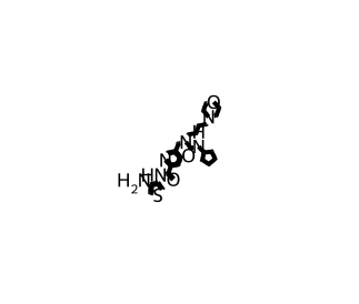 Nc1cscc1NC(=O)c1ccc(CN(CCCCN2CCOCC2)C(=O)NC2CCCC2)cn1